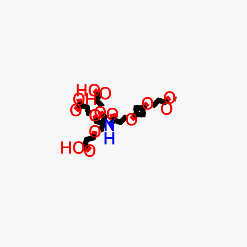 COC(=O)CCOC1CC(OCCC(=O)NC(COCCC(=O)O)(COCCC(=O)O)COCCC(=O)O)C1